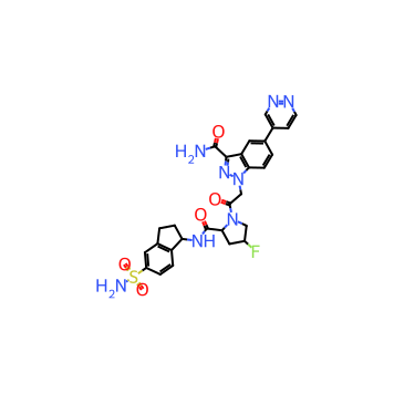 NC(=O)c1nn(CC(=O)N2CC(F)CC2C(=O)NC2CCc3cc(S(N)(=O)=O)ccc32)c2ccc(-c3ccnnc3)cc12